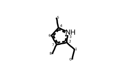 CCc1[nH]c(C)cc1C